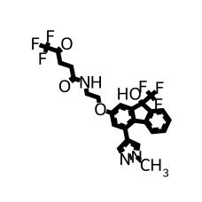 Cn1cc(-c2cc(OCCNC(=O)CCC(=O)C(F)(F)F)cc3c2-c2ccccc2C3(O)C(F)(F)F)cn1